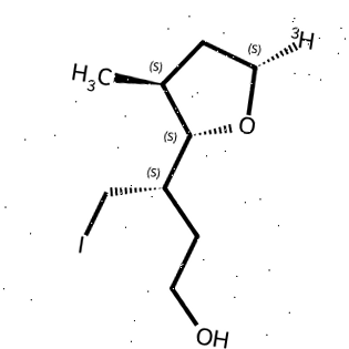 [3H][C@H]1C[C@H](C)[C@@H]([C@@H](CI)CCO)O1